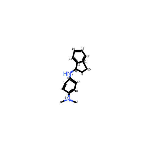 CN(C)c1ccc(NC2CCc3ccccc32)cc1